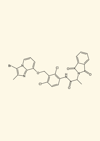 Cc1nc2c(OCc3c(Cl)ccc(NC(=O)C(C)N4C(=O)c5ccccc5C4=O)c3Cl)cccn2c1Br